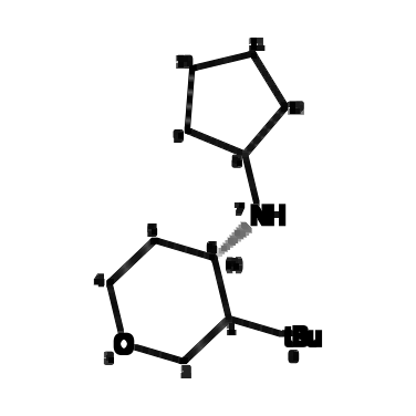 CC(C)(C)C1COCC[C@@H]1NC1CCCC1